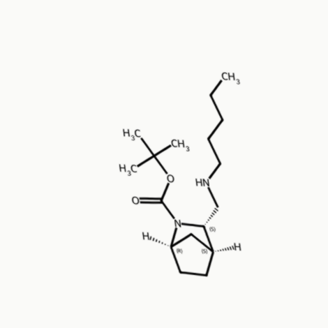 CCCCCNC[C@@H]1[C@H]2CC[C@H](C2)N1C(=O)OC(C)(C)C